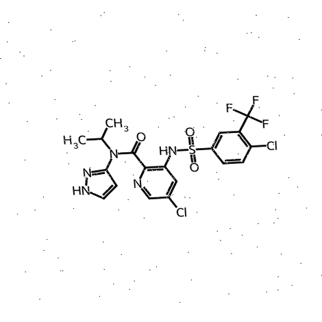 CC(C)N(C(=O)c1ncc(Cl)cc1NS(=O)(=O)c1ccc(Cl)c(C(F)(F)F)c1)c1cc[nH]n1